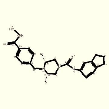 C[C@@H]1CN(C(=O)Nc2ccc3c(c2)CCC3)C[C@H](C)N1Cc1ccc(C(=O)NO)cc1